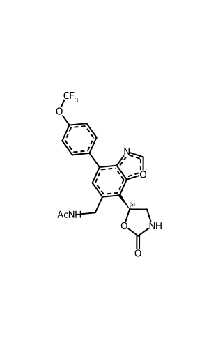 CC(=O)NCc1cc(-c2ccc(OC(F)(F)F)cc2)c2ncoc2c1[C@H]1CNC(=O)O1